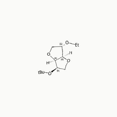 CCO[C@H]1CO[C@H]2[C@@H]1OC[C@H]2OC(C)(C)C